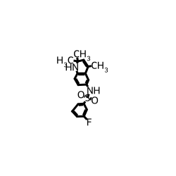 CC1=CC(C)(C)Nc2ccc(NS(=O)(=O)c3cccc(F)c3)cc21